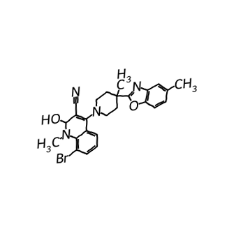 Cc1ccc2oc(C3(C)CCN(C4=C(C#N)C(O)N(C)c5c(Br)cccc54)CC3)nc2c1